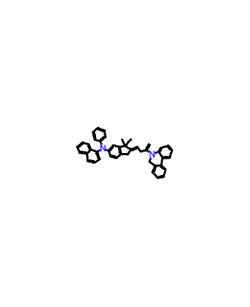 C=C(C/C=C1\Cc2ccc(N(c3ccccc3)c3cccc4ccccc34)cc2C1(C)C)N1Cc2ccccc2-c2ccccc21